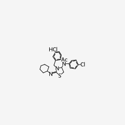 CC(=O)N(c1ccc(Cl)cc1)C1CSC(=NC2CCCCC2)N1Cc1ccccc1.Cl